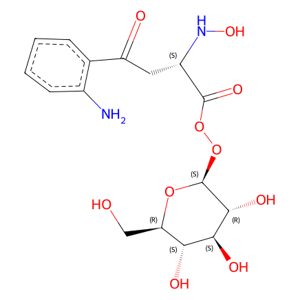 Nc1ccccc1C(=O)C[C@H](NO)C(=O)OO[C@@H]1O[C@H](CO)[C@@H](O)[C@H](O)[C@H]1O